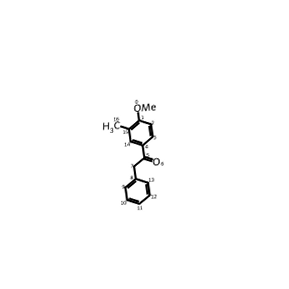 COc1ccc(C(=O)Cc2ccccc2)cc1C